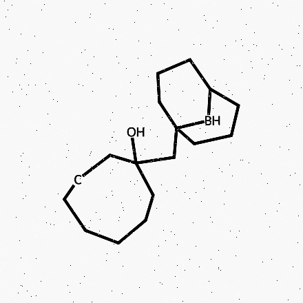 OC1(CC23BC(CCC2)CCC3)CCCCCCC1